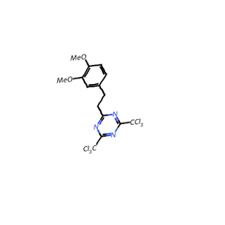 COc1ccc(CCc2nc(C(Cl)(Cl)Cl)nc(C(Cl)(Cl)Cl)n2)cc1OC